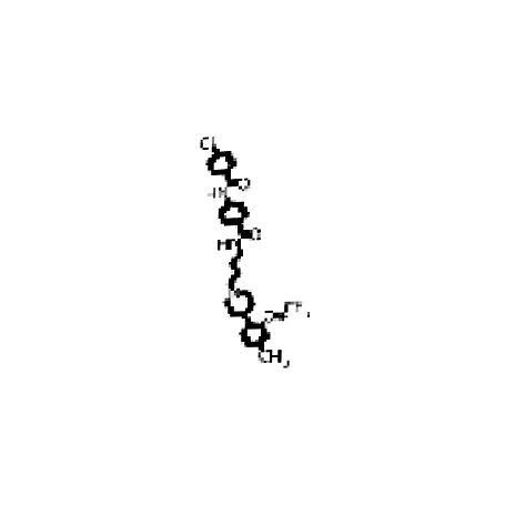 Cc1ccc(C2CCN(CCCCNC(=O)c3ccc(NC(=O)c4ccc(Cl)cc4)cc3)CC2)c(OCC(F)(F)F)c1